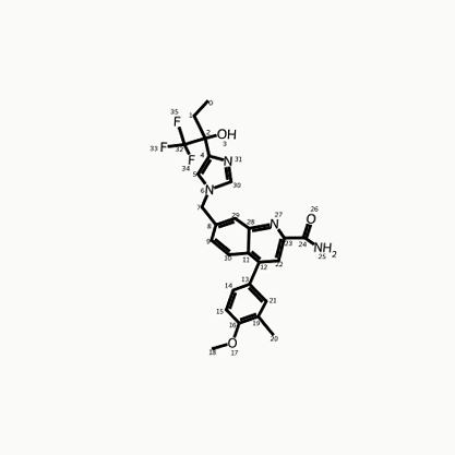 CCC(O)(c1cn(Cc2ccc3c(-c4ccc(OC)c(C)c4)cc(C(N)=O)nc3c2)cn1)C(F)(F)F